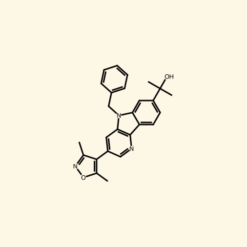 Cc1noc(C)c1-c1cnc2c3ccc(C(C)(C)O)cc3n(Cc3ccccc3)c2c1